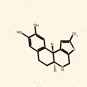 Oc1cc2c(cc1O)[C@@H]1c3cc(C(F)(F)F)sc3CN[C@H]1CC2